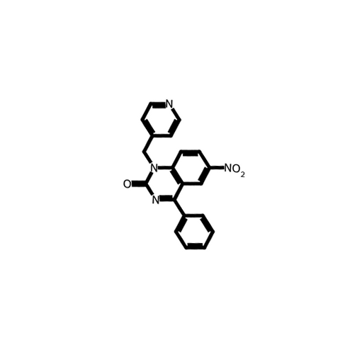 O=c1nc(-c2ccccc2)c2cc([N+](=O)[O-])ccc2n1Cc1ccncc1